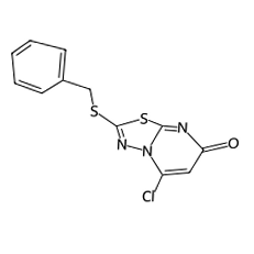 O=c1cc(Cl)n2nc(SCc3ccccc3)sc2n1